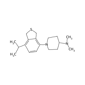 CC(C)c1ccc(N2CCC(N(C)C)CC2)c2c1CSC2